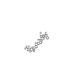 COC[C@H]1C[C@@H](c2nc3ccc4cc5c(cc4c3[nH]2)OCc2cc(-c3cnc([C@@H]4CCCN4C(=O)C(NC(=O)OC)C(C)C)[nH]3)ccc2-5)N(C(=O)[C@H](NC(=O)OC)c2ccccc2)C1